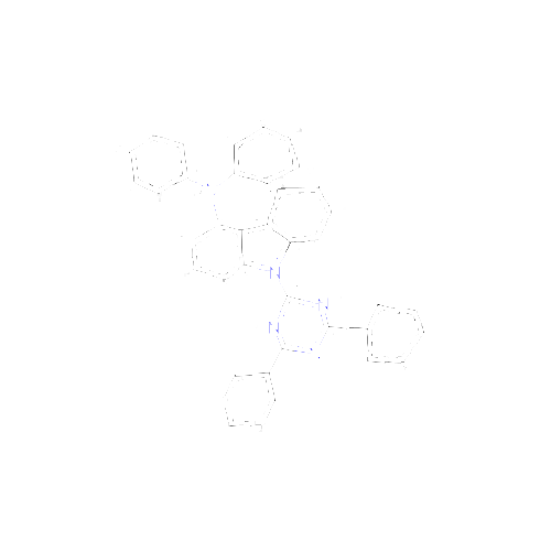 c1ccc(-c2nc(-c3ccccc3)nc(-n3c4ccccc4c4c(N(c5ccccc5)c5ccccc5)cccc43)n2)cc1